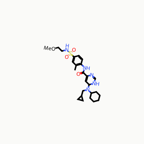 COCCNS(=O)(=O)c1ccc(NC(=O)C2=CC(N(CC3CC3)C3CCCCC3)NC=N2)c(C)c1